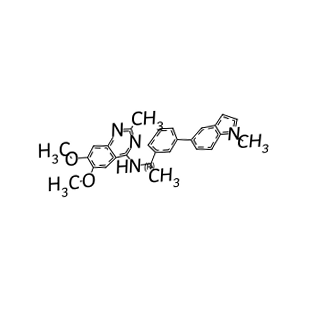 COc1cc2nc(C)nc(N[C@H](C)c3cccc(-c4ccc5c(ccn5C)c4)c3)c2cc1OC